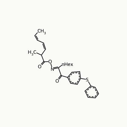 C/C=C\C=C/C(C)C(=O)O/N=C(\CCCCCC)C(=O)c1ccc(Sc2ccccc2)cc1